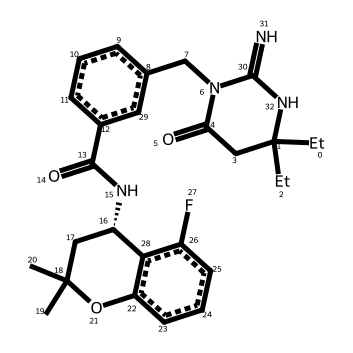 CCC1(CC)CC(=O)N(Cc2cccc(C(=O)N[C@H]3CC(C)(C)Oc4cccc(F)c43)c2)C(=N)N1